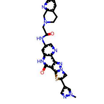 Cn1cc(-c2cn3nc4c5ncc(NC(=O)CN6CCc7cccnc7C6)cc5[nH]c(=O)c4c3s2)cn1